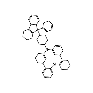 Sc1ccccc1C1C=C(N(C2=CC(C3=CCCCC3)CC=C2)C2CC=C(C3(C4=CC=CCC4)C4=C(CCCC4)C4C=CC=CC43)CC2)CCC1